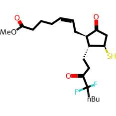 CCCCC(F)(F)C(=O)CC[C@H]1[C@H](S)CC(=O)[C@@H]1C/C=C\CCCC(=O)OC